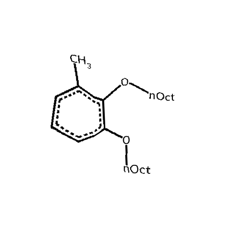 CCCCCCCCOc1cccc(C)c1OCCCCCCCC